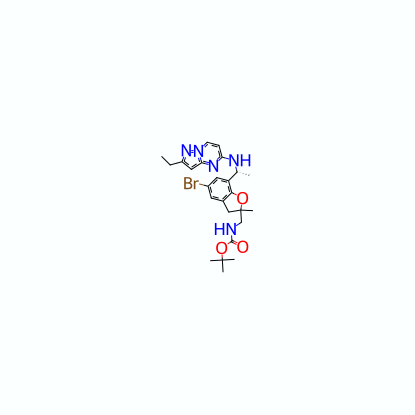 CCc1cc2nc(N[C@H](C)c3cc(Br)cc4c3OC(C)(CNC(=O)OC(C)(C)C)C4)ccn2n1